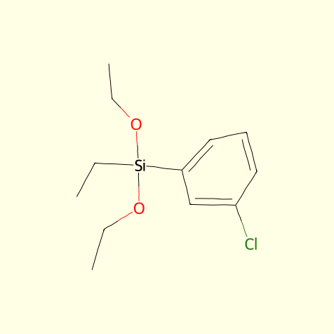 CCO[Si](CC)(OCC)c1cccc(Cl)c1